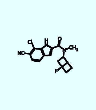 CN(C(=O)c1cc2ccc(C#N)c(Cl)c2[nH]1)C1CC2(F)CCC12